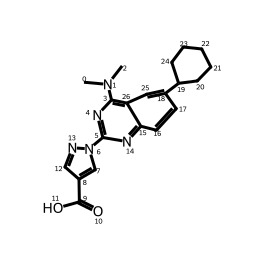 CN(C)c1nc(-n2cc(C(=O)O)cn2)nc2ccc(C3CCCCC3)cc12